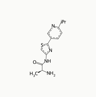 CC(C)c1ccc(-c2nc(NC(=O)[C@H](C)N)cs2)cn1